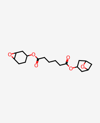 O=C(CCCCC(=O)OC1CCC2OC2C1)OC1CC2CC(C1)O2